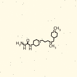 CN1CCC(CN(C)CCCN2CCC(NC(=O)NN)CC2)CC1